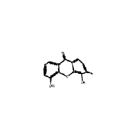 O=c1c2cccc(O)c2oc2c(O)c(F)ccc12